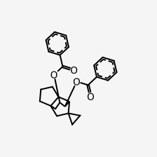 O=C(OC1CC23CCCC2C(C1OC(=O)c1ccccc1)C1(CC1)C3)c1ccccc1